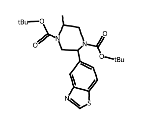 CC1CN(C(=O)OC(C)(C)C)C(c2ccc3scnc3c2)CN1C(=O)OC(C)(C)C